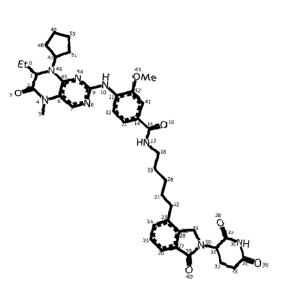 CCC1C(=O)N(C)c2cnc(Nc3ccc(C(=O)NCCCCCc4cccc5c4CN(C4CCC(=O)NC4=O)C5=O)cc3OC)nc2N1C1CCCC1